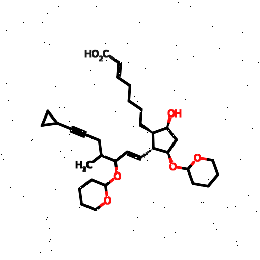 CC(CC#CC1CC1)C(/C=C/[C@@H]1[C@@H](CCCC/C=C/C(=O)O)[C@@H](O)C[C@H]1OC1CCCCO1)OC1CCCCO1